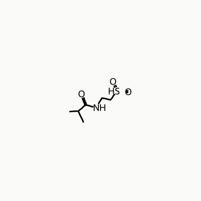 CC(C)C(=O)NCC[SH](=O)=O